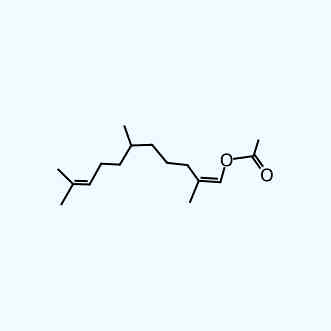 CC(=O)OC=C(C)CCCC(C)CCC=C(C)C